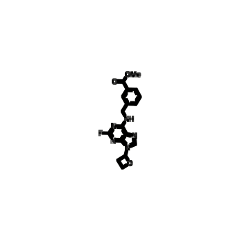 COC(=O)c1cccc(CNc2nc(F)nc3c2ncn3C2CCO2)c1